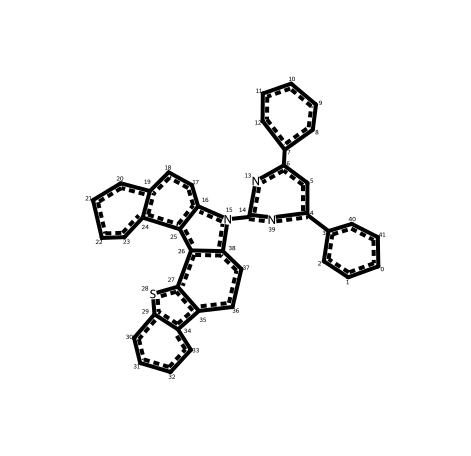 c1ccc(-c2cc(-c3ccccc3)nc(-n3c4ccc5ccccc5c4c4c5sc6ccccc6c5ccc43)n2)cc1